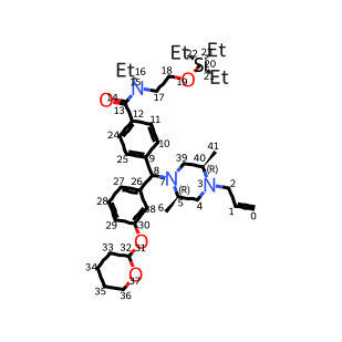 C=CCN1C[C@@H](C)N(C(c2ccc(C(=O)N(CC)CCO[Si](CC)(CC)CC)cc2)c2cccc(OC3CCCCO3)c2)C[C@H]1C